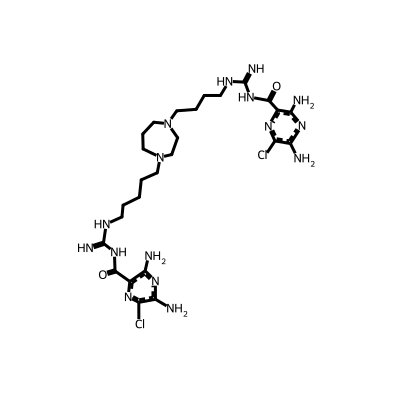 N=C(NCCCCCN1CCCN(CCCCNC(=N)NC(=O)c2nc(Cl)c(N)nc2N)CC1)NC(=O)c1nc(Cl)c(N)nc1N